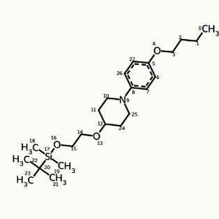 CCCCOc1ccc(N2CCC(OCCO[Si](C)(C)C(C)(C)C)CC2)cc1